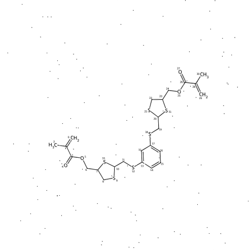 C=C(C)C(=O)OCC1CSC(CSc2cccc(SCC3SCC(COC(=O)C(=C)C)S3)c2)S1